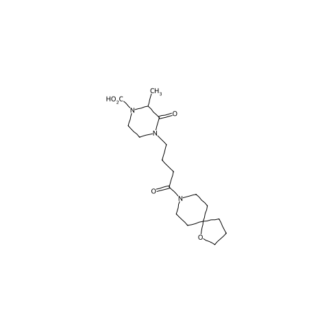 CC1C(=O)N(CCCC(=O)N2CCC3(CCCO3)CC2)CCN1C(=O)O